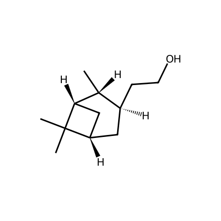 C[C@@H]1[C@@H](CCO)C[C@H]2C[C@@H]1C2(C)C